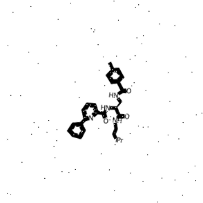 Cc1ccc(C(=O)NC[C@H](NC(=O)c2cccc(-c3ccccc3)n2)C(=O)NCCC(C)C)cc1